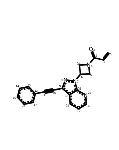 C=CC(=O)N1CC(n2nc(C#Cc3ccccc3)c3cccnc32)C1